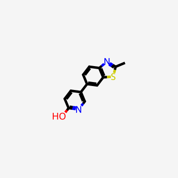 Cc1nc2ccc(-c3ccc(O)nc3)cc2s1